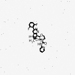 CC1(C)[C@H]2CC[C@]1([C@@H]1CN(C(=O)Nc3ccccn3)CCO1)c1nnc(-c3c(F)cccc3F)cc12